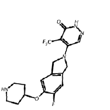 O=c1[nH]ncc(N2Cc3cc(F)c(OC4CCNCC4)cc3C2)c1C(F)(F)F